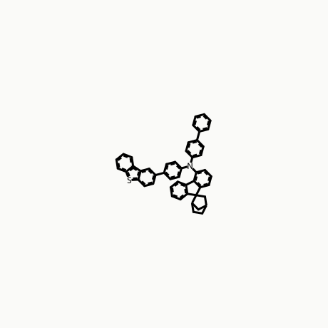 c1ccc(-c2ccc(N(c3ccc(-c4ccc5sc6ccccc6c5c4)cc3)c3cccc4c3-c3ccccc3C43CC4CCC3C4)cc2)cc1